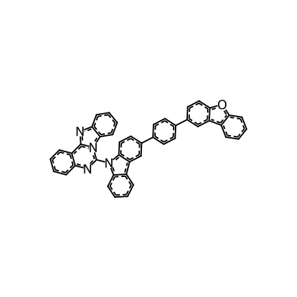 c1ccc2c(c1)nc(-n1c3ccccc3c3cc(-c4ccc(-c5ccc6oc7ccccc7c6c5)cc4)ccc31)n1c3ccccc3nc21